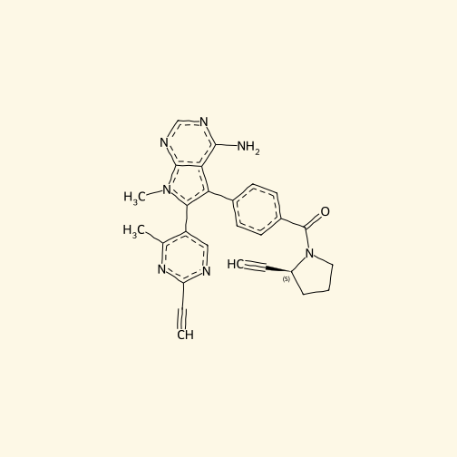 C#Cc1ncc(-c2c(-c3ccc(C(=O)N4CCC[C@H]4C#C)cc3)c3c(N)ncnc3n2C)c(C)n1